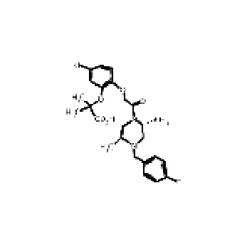 C[C@@H]1CN(Cc2ccc(F)cc2)[C@@H](C)CN1C(=O)COc1ccc(Cl)cc1OC(C)(C)C(=O)O